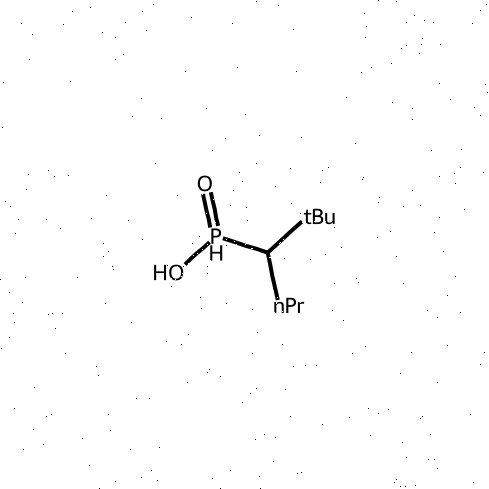 CCCC([PH](=O)O)C(C)(C)C